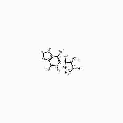 [2H]c1c([2H])c(C([2H])([2H])C(C)N([2H])C)c([2H])c2c1OCO2